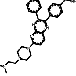 CN(C)CCN1CCN(c2ccc3nc(-c4ccc(CN)cc4)c(-c4ccccc4)nc3n2)CC1